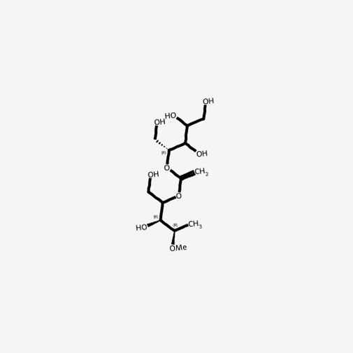 C=C(OC(CO)[C@H](O)[C@@H](C)OC)O[C@H](CO)C(O)C(O)CO